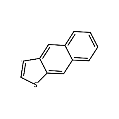 [c]1csc2cc3ccccc3cc12